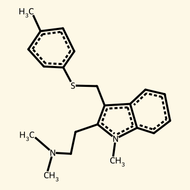 Cc1ccc(SCc2c(CCN(C)C)n(C)c3ccccc23)cc1